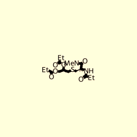 CCC(=O)N[C@@H](CSCC(COC(=O)CC)OC(=O)CC)C(=O)NC